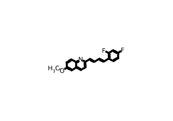 COc1ccc2nc(/C=C/C=C/c3ccc(F)cc3F)ccc2c1